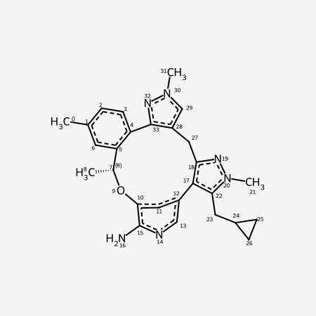 Cc1ccc2c(c1)[C@@H](C)Oc1cc(cnc1N)-c1c(nn(C)c1CC1CC1)Cc1cn(C)nc1-2